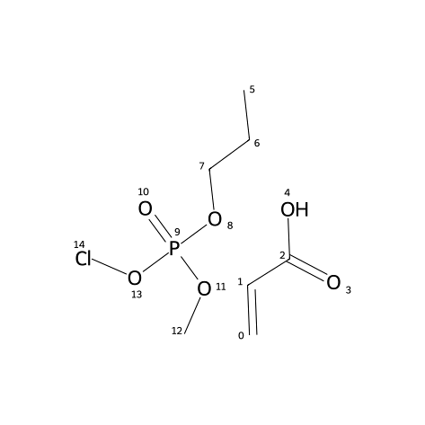 C=CC(=O)O.CCCOP(=O)(OC)OCl